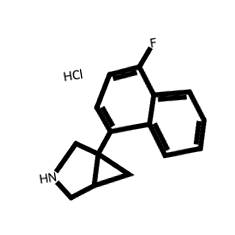 Cl.Fc1ccc(C23CNCC2C3)c2ccccc12